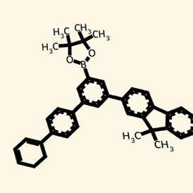 CC1(C)c2ccccc2-c2ccc(-c3cc(B4OC(C)(C)C(C)(C)O4)cc(-c4ccc(C5=CC=CCC5)cc4)c3)cc21